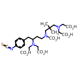 CC(C)(CN(CC(=O)O)CC(=O)O)CN(CCC(Cc1ccc(N=C=S)cc1)N(CC(=O)O)CC(=O)O)C(=O)O